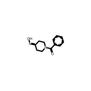 O=C(c1ccccc1)N1CCC(=NO)CC1